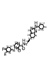 O=C(NCC#Cc1ccc2nc(Nc3ccccc3)ncc2c1)c1nccn(Cc2ccc(F)c(F)c2)c1=O